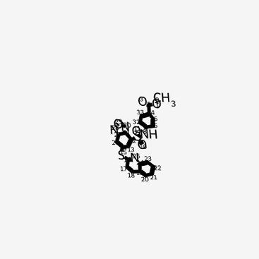 COC(=O)c1ccc(NS(=O)(=O)c2cc(Sc3ccc4ccccc4n3)cc3nonc23)cc1